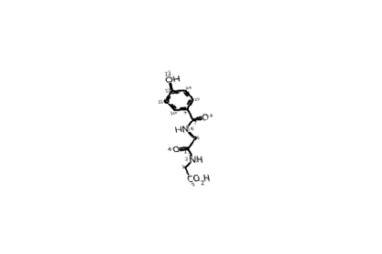 O=C(O)CNC(=O)CNC(=O)c1ccc(O)cc1